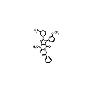 Cn1c(=O)n(CC(=O)c2ccccc2)c(=O)c2c1nc(N1CCCC(N)C1)n2-c1cccc(OC(F)(F)F)c1